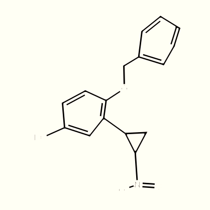 Cc1ccc(OCc2ccccc2)c(C2CC2[N+](=O)[O-])c1